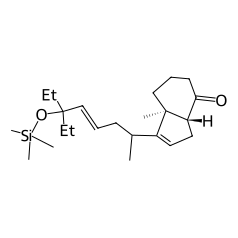 CCC(C=CCC(C)C1=CC[C@H]2C(=O)CCC[C@]12C)(CC)O[Si](C)(C)C